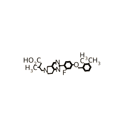 Cc1cccc(COc2ccc(-c3ncc4c(n3)CCN(CC(C)CC(=O)O)C4)c(F)c2)c1C